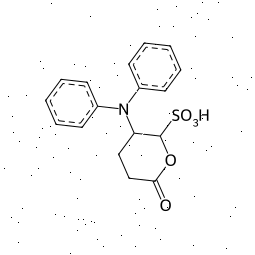 O=C1CCC(N(c2ccccc2)c2ccccc2)C(S(=O)(=O)O)O1